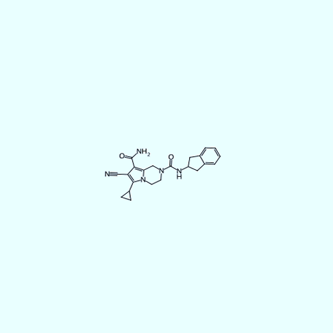 N#Cc1c(C(N)=O)c2n(c1C1CC1)CCN(C(=O)NC1Cc3ccccc3C1)C2